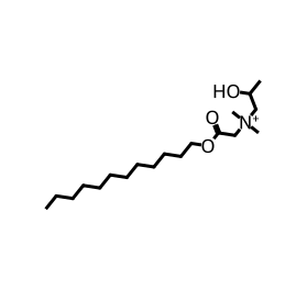 CCCCCCCCCCCCOC(=O)C[N+](C)(C)CC(C)O